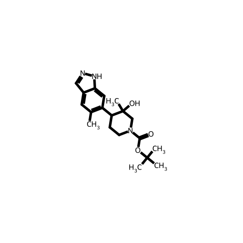 Cc1cc2cn[nH]c2cc1C1CCN(C(=O)OC(C)(C)C)CC1(C)O